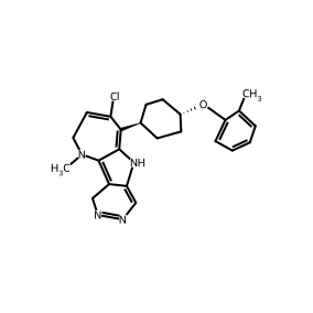 Cc1ccccc1O[C@H]1CC[C@H](C2=c3[nH]c4c(c3N(C)CC=C2Cl)CN=NC=4)CC1